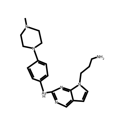 CN1CCN(c2ccc([AsH]c3ncc4ccn(CCCN)c4n3)cc2)CC1